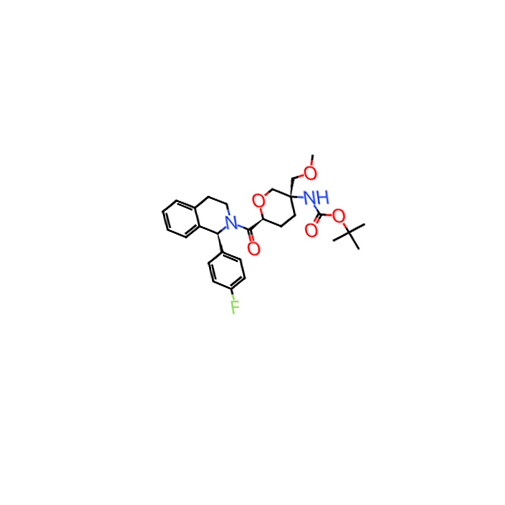 COC[C@@]1(NC(=O)OC(C)(C)C)CC[C@@H](C(=O)N2CCc3ccccc3[C@@H]2c2ccc(F)cc2)OC1